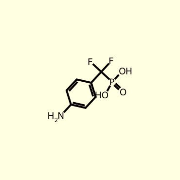 Nc1ccc(C(F)(F)P(=O)(O)O)cc1